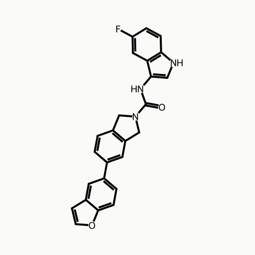 O=C(Nc1c[nH]c2ccc(F)cc12)N1Cc2ccc(-c3ccc4occc4c3)cc2C1